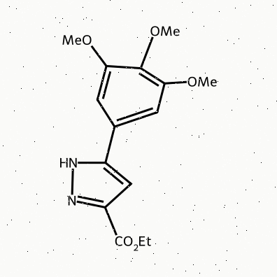 CCOC(=O)c1cc(-c2cc(OC)c(OC)c(OC)c2)[nH]n1